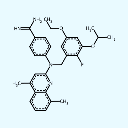 CCOc1cc(CN(c2ccc(C(=N)N)cc2)c2cc(C)c3cccc(C)c3n2)c(F)c(OC(C)C)c1